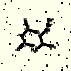 CC(C)CO.O=[PH]([O-])O[PH](=O)[O-].[Na+].[Na+]